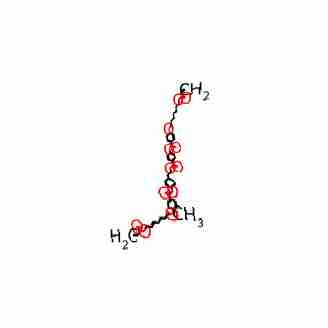 C=CC(=O)OCCCCCCCOc1ccc(C(=O)Oc2ccc(C(=O)OCCc3ccc(OC(=O)C4=CCC(C)(OCCCCCCCOC(=O)C=C)C=C4)cc3)cc2)cc1